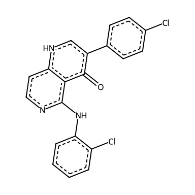 O=c1c(-c2ccc(Cl)cc2)c[nH]c2ccnc(Nc3ccccc3Cl)c12